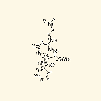 CSc1nn2c(NCCN(C)C)cc(C)nc2c1S(=O)(=O)c1ccccc1